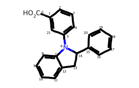 O=C(O)c1cccc(N2c3ccccc3CC2c2ccccc2)c1